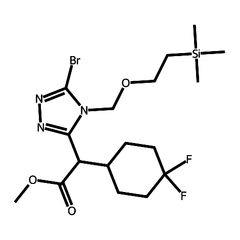 COC(=O)C(c1nnc(Br)n1COCC[Si](C)(C)C)C1CCC(F)(F)CC1